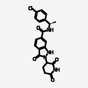 C[C@H](NC(=O)c1ccc2c(=O)n(C3CCC(=O)NC3=O)[nH]c2c1)c1ccc(Cl)cc1